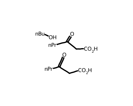 CCCC(=O)CC(=O)O.CCCC(=O)CC(=O)O.CCCCO